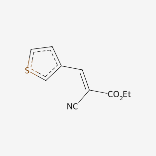 CCOC(=O)C(C#N)=Cc1ccsc1